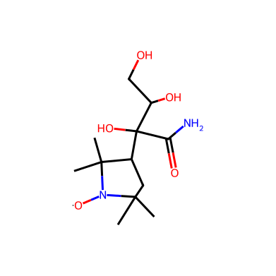 CC1(C)CC(C(O)(C(N)=O)C(O)CO)C(C)(C)N1[O]